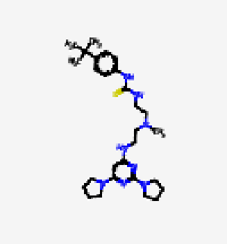 CN(CCNC(=S)Nc1ccc(C(C)(C)C)cc1)CCNc1cc(N2CCCC2)nc(N2CCCC2)n1